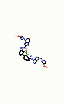 O=C(Nc1cccc(-c2cccc(Nc3nccc4cc(CN5CC[C@@H](O)C5)cnc34)c2Cl)c1Cl)c1cc2n(n1)CCCC2N1CC(O)C1